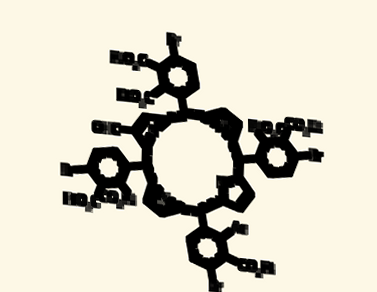 CCOC(=O)c1c(Br)ccc(-c2c3nc(c(-c4ccc(Br)c(C(=O)OCC)c4C(=O)OCC)c4ccc([nH]4)c(-c4ccc(Br)c(C(=O)OCC)c4C(=O)OCC)c4nc(c(-c5ccc(Br)c(C(=O)OCC)c5C(=O)OCC)c5ccc2[nH]5)C(C=O)=C4)C=C3)c1C(C)=O